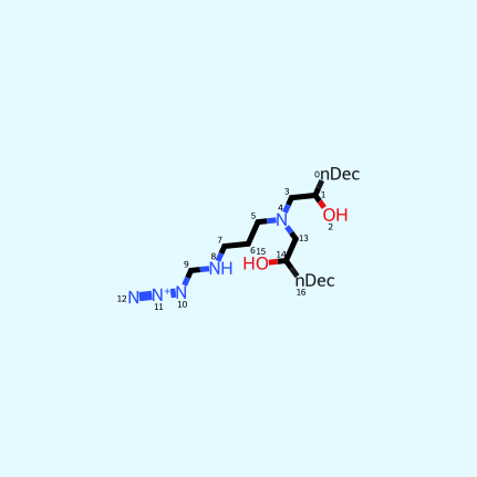 CCCCCCCCCCC(O)CN(CCCNCN=[N+]=[N-])CC(O)CCCCCCCCCC